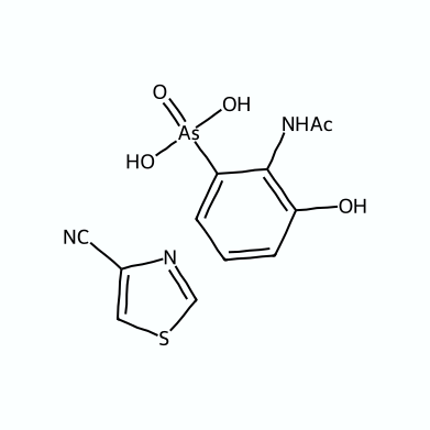 CC(=O)Nc1c(O)cccc1[As](=O)(O)O.N#Cc1cscn1